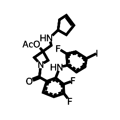 CC(=O)OC1(CNC2CC=CC2)CN(C(=O)c2ccc(F)c(F)c2Nc2ccc(I)cc2F)C1